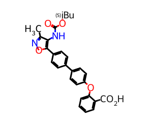 CC[C@H](C)OC(=O)Nc1c(C)noc1-c1ccc(-c2ccc(Oc3ccccc3C(=O)O)cc2)cc1